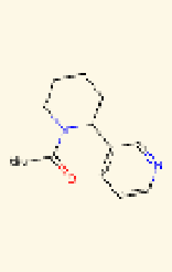 CC(C)(C)C(=O)N1CCCCC1c1cccnc1